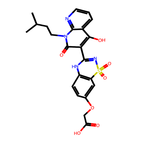 CC(C)CCn1c(=O)c(C2=NS(=O)(=O)c3cc(OCC(=O)O)ccc3N2)c(O)c2cccnc21